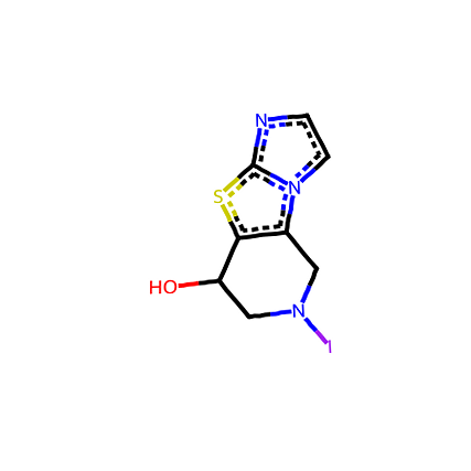 OC1CN(I)Cc2c1sc1nccn21